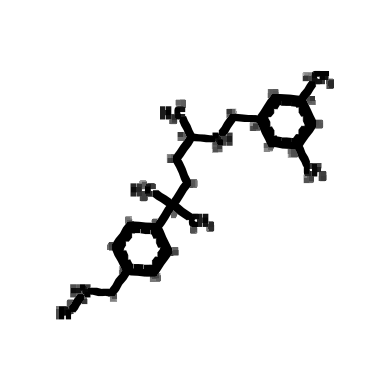 CC(C)NCc1ccc(C(C)(C)CCC(C)NCc2cc(C(F)(F)F)cc(C(F)(F)F)c2)cc1